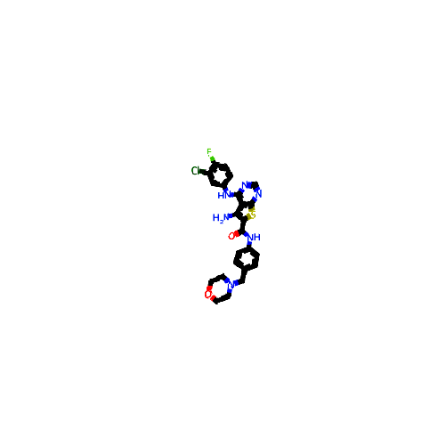 Nc1c(C(=O)Nc2ccc(CN3CCOCC3)cc2)sc2ncnc(Nc3ccc(F)c(Cl)c3)c12